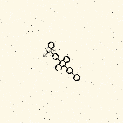 C/C=C\c1c(C)c(C2=CC=C(C3=CC=CCC3)CC2)c2ccccc2c1-c1ccc(N2C(CC)=NC3C=CC=C[C@H]32)cc1